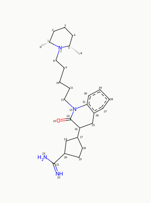 C[C@@H]1CCC[C@H](C)N1CCCCCN1C(=O)C(C2CCC(C(=N)N)C2)Cc2ccccc21